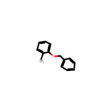 FC(F)(F)c1ccccc1OCc1ccccc1